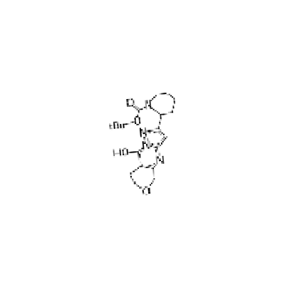 CC(C)(C)OC(=O)N1CCCCC1c1cc2nc3c(c(O)n2n1)CCOC3